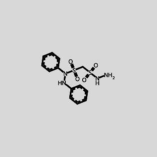 NNS(=O)(=O)CS(=O)(=O)N(Nc1ccccc1)c1ccccc1